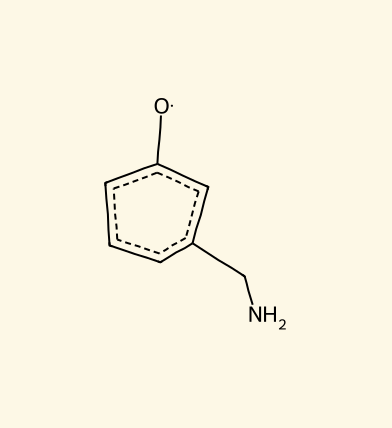 NCc1cccc([O])c1